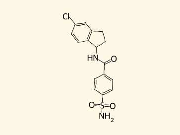 NS(=O)(=O)c1ccc(C(=O)NC2CCc3cc(Cl)ccc32)cc1